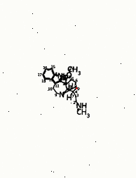 CNCC[C@H]1CC2CN3CCc4c([nH]c5ccccc45)[C@](C(=O)OC)(C2)[C@H]13